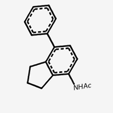 CC(=O)Nc1ccc(-c2ccccc2)c2c1CCC2